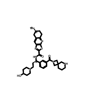 CC(C)(C)[C@H]1CCc2nc3sc(C(=O)N[C@H](CCN4CCC(O)CC4)c4cccc(C(=O)N5CC6(CCCNC6)C5)c4)nc3cc2C1